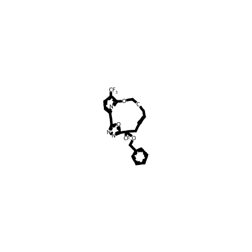 FC(F)(F)c1ccc2nc1OCCCC=CCC(OCc1ccccc1)(C(F)(F)F)c1nnc-2o1